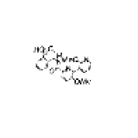 COc1ccc(C(=O)N[C@@H](CC(=O)O)c2ccccc2F)nc1-c1cccnc1OC